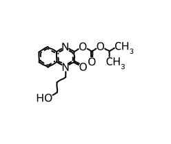 CC(C)OC(=O)Oc1nc2ccccc2n(CCCO)c1=O